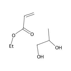 C=CC(=O)OCC.CC(O)CO